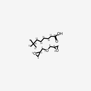 C(OCC1CO1)C1CO1.CC(C)(C)CCCCCC(=O)O